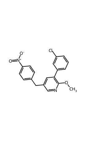 COc1ncc(Cc2ccc([N+](=O)[O-])cc2)cc1-c1cccc(Cl)c1